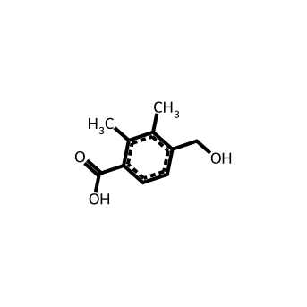 Cc1c(CO)ccc(C(=O)O)c1C